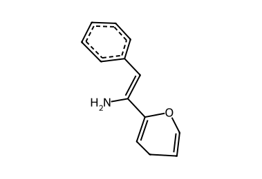 NC(=Cc1ccccc1)C1=CCC=CO1